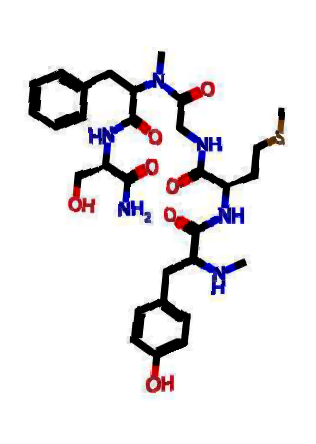 CNC(Cc1ccc(O)cc1)C(=O)N[C@H](CCSC)C(=O)NCC(=O)N(C)C(Cc1ccccc1)C(=O)N[C@H](CO)C(N)=O